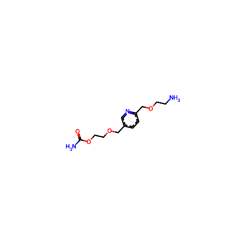 NCCOCc1ccc(COCCOC(N)=O)cn1